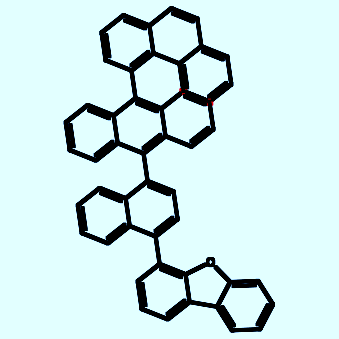 c1ccc2c(c1)ccc1cccc(-c3c4ccccc4c(-c4ccc(-c5cccc6c5oc5ccccc56)c5ccccc45)c4ccccc34)c12